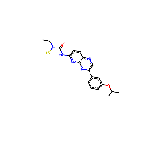 CCN(S)C(=O)Nc1ccc2ncc(-c3cccc(OC(C)C)c3)nc2n1